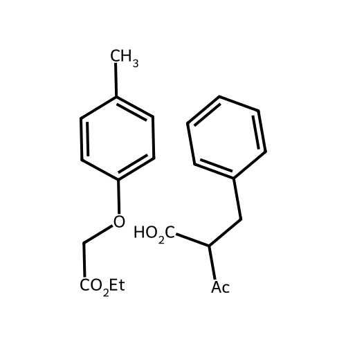 CC(=O)C(Cc1ccccc1)C(=O)O.CCOC(=O)COc1ccc(C)cc1